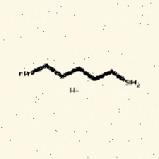 CCCCCCCC[SiH3].F